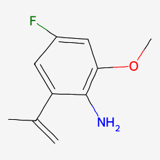 C=C(C)c1cc(F)cc(OC)c1N